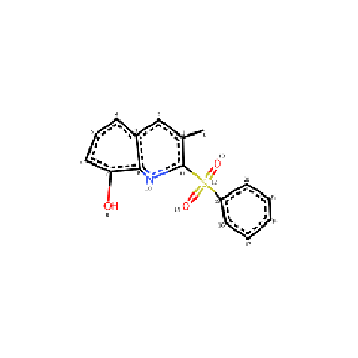 Cc1cc2cccc(O)c2nc1S(=O)(=O)c1ccccc1